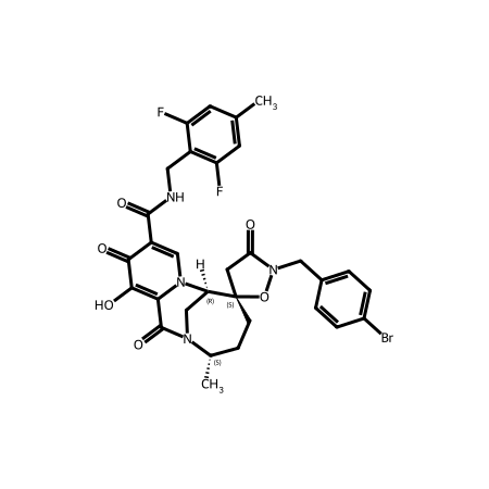 Cc1cc(F)c(CNC(=O)c2cn3c(c(O)c2=O)C(=O)N2C[C@@H]3[C@]3(CC[C@@H]2C)CC(=O)N(Cc2ccc(Br)cc2)O3)c(F)c1